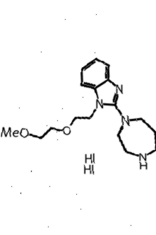 COCCOCCn1c(N2CCCNCC2)nc2ccccc21.I.I